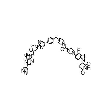 Cn1cc(-c2cnc3c(nnn3C[C@@H]3CN(c4ncc(-c5ccc(CN6CCN(CC(=O)N7CCN(c8ccc(NC9CCC(=O)NC9=O)cc8F)CC7)CC6)cc5)cn4)CCO3)n2)cn1